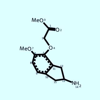 COC(=O)COc1c(OC)ccc2c1CC(N)C2